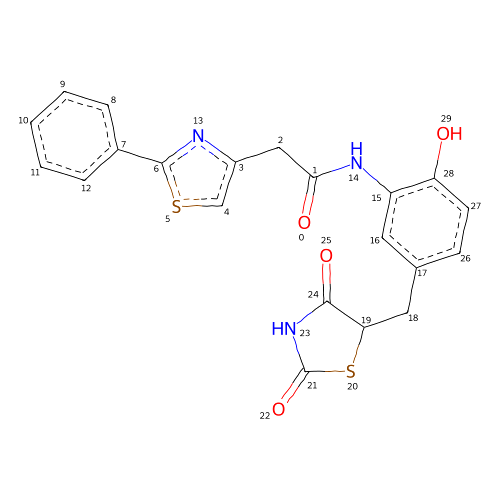 O=C(Cc1csc(-c2ccccc2)n1)Nc1cc(CC2SC(=O)NC2=O)ccc1O